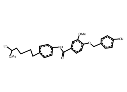 CCC(CCCCc1ccc(NC(=O)c2ccc(OCc3ccc(C#N)cc3)c(OC)c2)cc1)OC